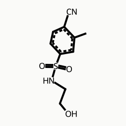 Cc1cc(S(=O)(=O)NCCO)ccc1C#N